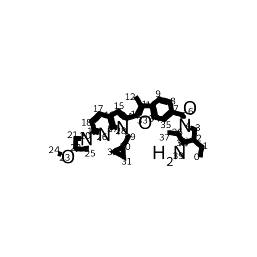 CCC1CN(C(=O)c2ccc3c(C)c(-c4cc5ccc(N6CC(OC)C6)nc5n4CC4CC4)oc3c2)C(C)[C@@H]1N